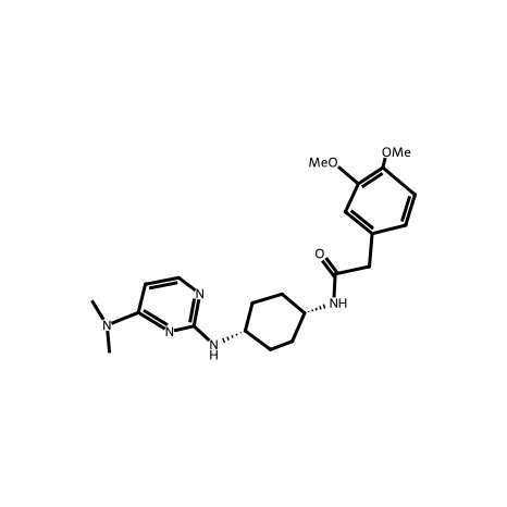 COc1ccc(CC(=O)N[C@H]2CC[C@@H](Nc3nccc(N(C)C)n3)CC2)cc1OC